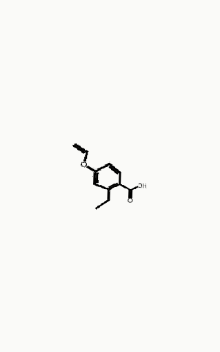 C=COc1ccc(C(=O)O)c(CC)c1